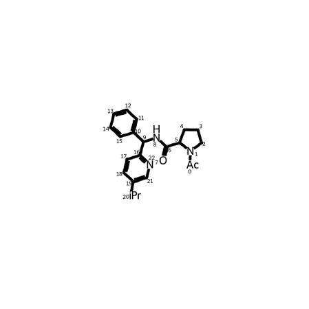 CC(=O)N1CCCC1C(=O)NC(c1ccccc1)c1ccc(C(C)C)cn1